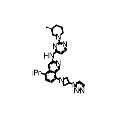 CC(C)c1ccc(N2CC(n3ccnn3)C2)c2cnc(Nc3ccnc(N4CCC[C@H](C)C4)n3)cc12